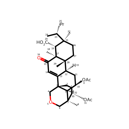 CC(=O)O[C@@H]1C[C@]23COC[C@@](C)([C@@H]2CC[C@H]2C3=CC(=O)[C@@]3(C)[C@H](C(=O)O)[C@@](C)([C@H](C)C(C)C)CC[C@]23C)[C@H]1OC(C)=O